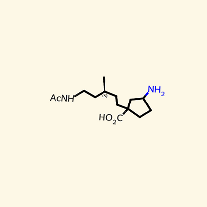 CC(=O)NCC[C@@H](C)CCC1(C(=O)O)CCC(N)C1